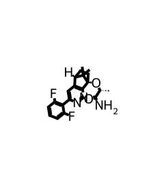 C[C@@H](O[C@@]12CC[C@@H](c3cc(-c4c(F)cccc4F)nnc31)C2(C)C)C(N)=O